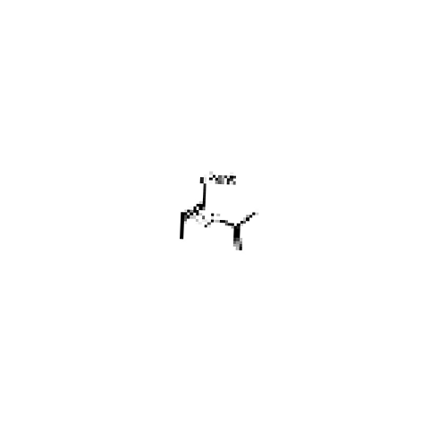 C=C(C)C(=O)O.CC=CCCCCC